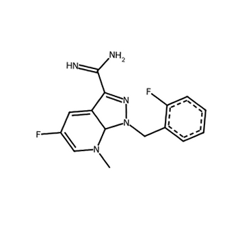 CN1C=C(F)C=C2C(C(=N)N)=NN(Cc3ccccc3F)C21